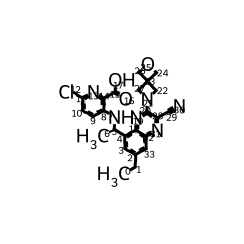 CCc1cc([C@@H](C)Nc2ccc(Cl)nc2C(=O)O)c2nc(N3CC4(COC4)C3)c(C#N)nc2c1